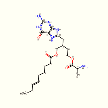 CCCCCCCCCCCC=CCCCCC(=O)OCC(CCOC(=O)[C@@H](N)C(C)C)Cc1nc2nc(N)[nH]c(=O)c2[nH]1